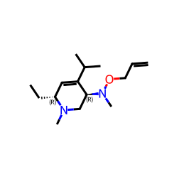 C=CCON(C)[C@H]1CN(C)[C@H](CC)C=C1C(C)C